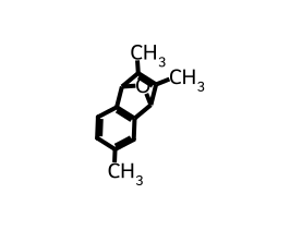 CC1=C(C)C2OC1c1ccc(C)cc12